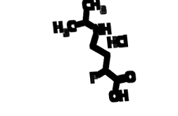 CC(C)NCCC(F)C(=O)O.Cl